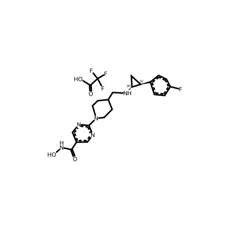 O=C(NO)c1cnc(N2CCC(CN[C@@H]3C[C@H]3c3ccc(F)cc3)CC2)nc1.O=C(O)C(F)(F)F